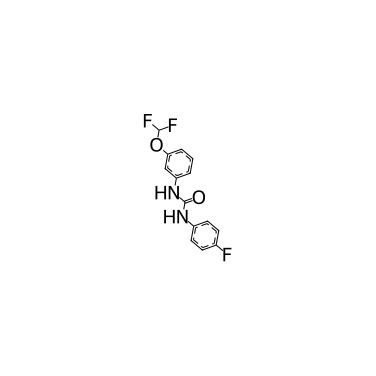 O=C(Nc1ccc(F)cc1)Nc1cccc(OC(F)F)c1